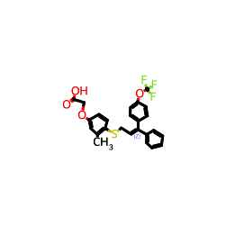 Cc1cc(OCC(=O)O)ccc1SC/C=C(/c1ccccc1)c1ccc(OC(F)(F)F)cc1